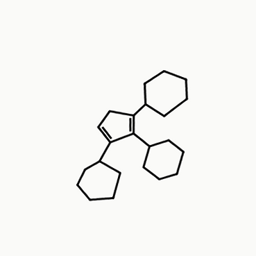 C1=C(C2CCCCC2)C(C2CCCCC2)=C(C2CCCCC2)C1